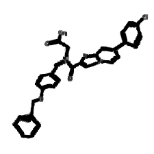 O=C(O)CN(Cc1ccc(OCc2ccccc2)cc1)C(=O)c1cn2ccc(-c3ccc(Cl)cc3)cc2n1